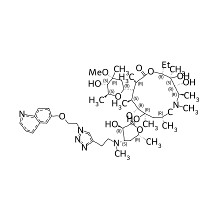 CC[C@H]1OC(=O)[C@H](C)C([C@H]2C[C@@](C)(OC)[C@@H](O)[C@H](C)O2)[C@H](C)[C@@H](O[C@@H]2O[C@H](C)C[C@H](N(C)CCc3cn(CCOc4ccc5ncccc5c4)nn3)[C@H]2O)[C@](C)(O)C[C@@H](C)CN(C)[C@H](C)[C@@H](O)[C@]1(C)O